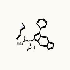 C=C/C=C/C.C[SiH](C)[Ti]([NH]C(C)(C)C)[C]1=c2cc3c(cc2C(c2ccccc2)=C1)=CC=C3